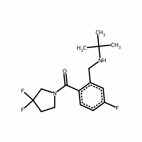 CC(C)(C)NCc1cc(F)ccc1C(=O)N1CCC(F)(F)C1